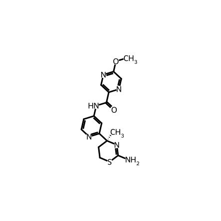 COc1cnc(C(=O)Nc2ccnc([C@]3(C)CCSC(N)=N3)c2)cn1